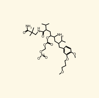 COCCCOc1cc(CC(CC(N)C(CC(C(=O)NCC(C)(C)C(N)=O)C(C)C)OC(=O)OCO[N+](=O)[O-])C(C)C)ccc1OC